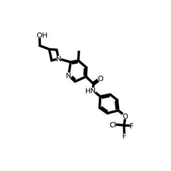 Cc1cc(C(=O)Nc2ccc(OC(F)(F)Cl)cc2)cnc1N1CC(CO)C1